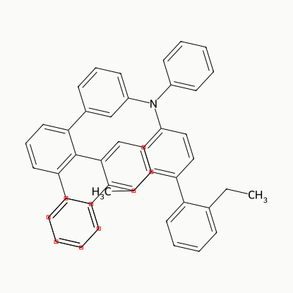 CCc1ccccc1-c1ccc(N(c2ccccc2)c2cccc(-c3cccc(-c4ccccc4)c3-c3ccccc3-c3ccccc3)c2)cc1CC